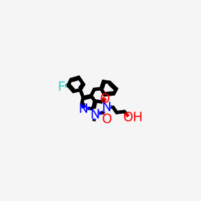 Cn1c(=O)n(CCCO)c(=O)c2c(Cc3ccccc3)c(-c3cccc(F)c3)cnc21